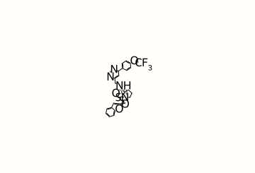 O=C(NCc1cc(-c2ccc(OC(F)(F)F)cc2)ncn1)[C@@H]1CCCN1S(=O)(=S)c1cc2ccccc2o1